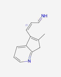 CC1=C(/C=C\C=N)c2cccnc2C1